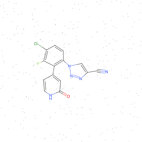 N#Cc1cn(-c2ccc(Cl)c(F)c2-c2cc[nH]c(=O)c2)nn1